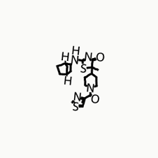 CC1(C2CCN(C(=O)c3cscn3)CC2)SC(N[C@H]2C[C@H]3CC[C@H]2C3)=NC1=O